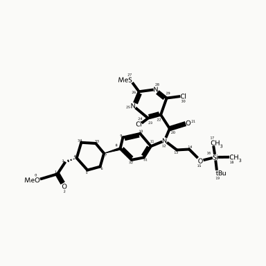 COC(=O)C[C@H]1CC[C@H](c2ccc(N(CCO[Si](C)(C)C(C)(C)C)C(=O)c3c(Cl)nc(SC)nc3Cl)cc2)CC1